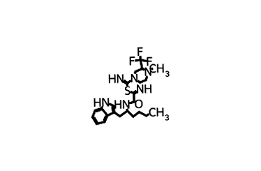 CCCCC(Cc1c[nH]c2ccccc12)NC(=O)C(=N)SC(=N)N1CCN(C)C(C(F)(F)F)C1